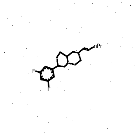 CCCC=CC1CCC2CC(c3cc(F)cc(F)c3)CCC2C1